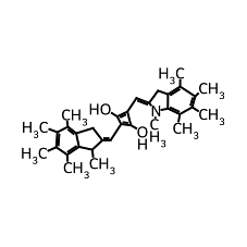 Cc1c(C)c(C)c2c(c1C)CC(=CC1=C(O)C(C=C3Cc4c(C)c(C)c(C)c(C)c4N3C)=C1O)C2C